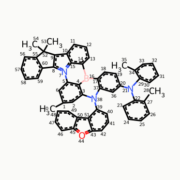 Cc1cc2c3c(c1)-n1c4c(c5cccc(c51)B3c1ccc(N(c3ccccc3C)c3ccccc3C)cc1N2c1cccc2oc3ccccc3c12)C(C)(C)c1ccccc1-4